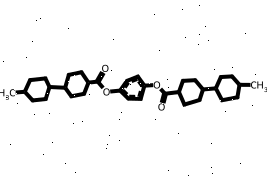 CC1CCC(C2CCC(C(=O)Oc3ccc(OC(=O)C4CCC(C5CCC(C)CC5)CC4)cc3)CC2)CC1